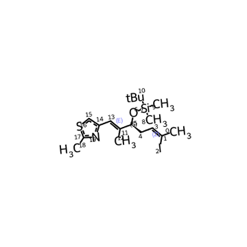 C/C(I)=C/C[C@H](O[Si](C)(C)C(C)(C)C)/C(C)=C/c1csc(C)n1